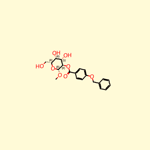 CO[C@@H]1O[C@H](CO)[C@H](O)[C@H](O)[C@H]1OC(=O)c1ccc(OCc2ccccc2)cc1